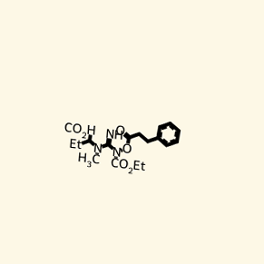 CCOC(=O)N(OC(=O)CCc1ccccc1)C(=N)N(C)C(CC)C(=O)O